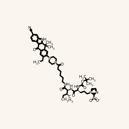 CCc1cc2c(cc1N1CCN(C(=O)CCCCCNC(=O)[C@@H](NC(=O)[C@H](CCCn3ccnc3[N+](=O)[O-])NC(=O)OC(C)(C)C)[C@@H](C)CC)CC1)C(C)(C)c1[nH]c3cc(C#N)ccc3c1C2=O